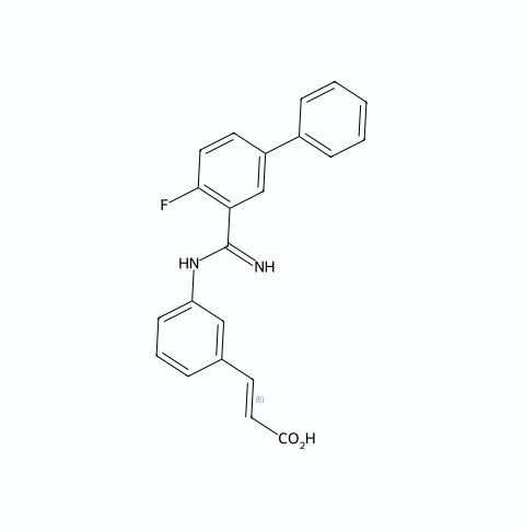 N=C(Nc1cccc(/C=C/C(=O)O)c1)c1cc(-c2ccccc2)ccc1F